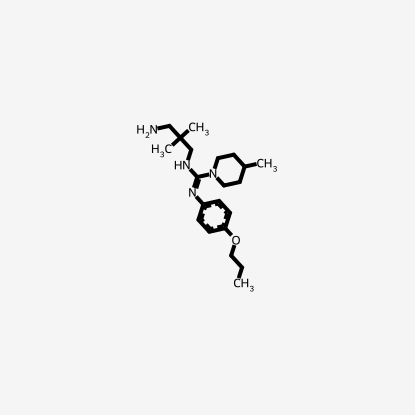 CCCOc1ccc(/N=C(/NCC(C)(C)CN)N2CCC(C)CC2)cc1